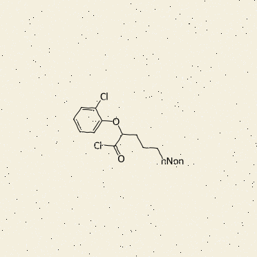 CCCCCCCCCCCCC(Oc1ccccc1Cl)C(=O)Cl